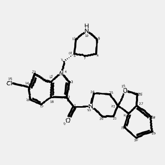 O=C(c1cn(C[C@H]2CCCNC2)c2cc(Cl)ccc12)N1CCC2(CC1)OCc1ccccc12